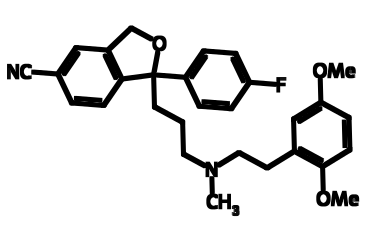 COc1ccc(OC)c(CCN(C)CCCC2(c3ccc(F)cc3)OCc3cc(C#N)ccc32)c1